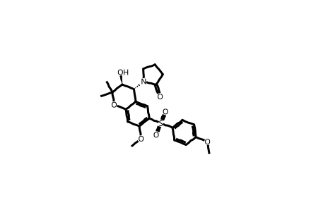 COc1ccc(S(=O)(=O)c2cc3c(cc2OC)OC(C)(C)[C@@H](O)[C@@H]3N2CCCC2=O)cc1